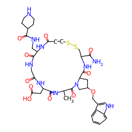 CC1NC(=O)C(CC(=O)O)NC(=O)CNC(=O)C(CNC(=O)C2CCNCC2)NC(=O)CCSSCC(C(N)=O)NC(=O)C2CC(OCc3c[nH]c4ccccc34)CN2C1=O